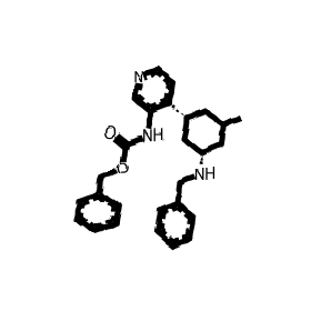 CC1C[C@H](NCc2ccccc2)C[C@H](c2ccncc2NC(=O)OCc2ccccc2)C1